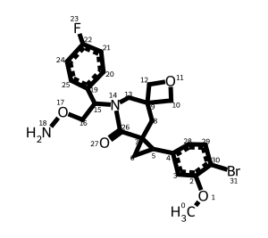 COc1cc(C2CC23CC2(COC2)CN(C(CON)c2ccc(F)cc2)C3=O)ccc1Br